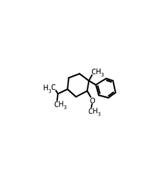 COC1CC(C(C)C)CCC1(C)c1ccccc1